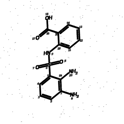 Nc1cccc(S(=O)(=O)Nc2ccccc2C(=O)O)c1N